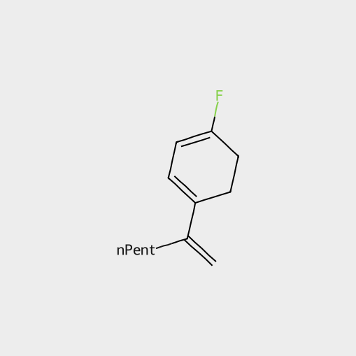 C=C(CCCCC)C1=CC=C(F)CC1